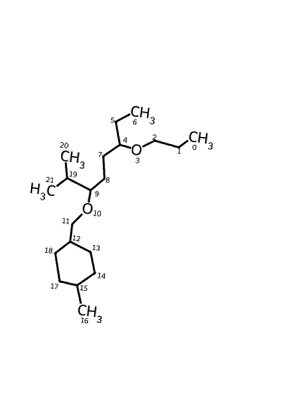 CCCOC(CC)CCC(OCC1CCC(C)CC1)C(C)C